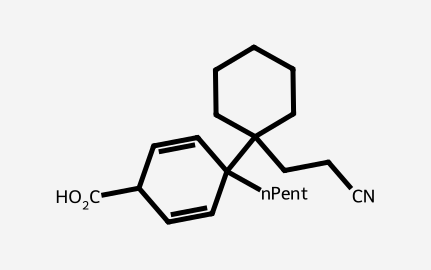 CCCCCC1(C2(CCC#N)CCCCC2)C=CC(C(=O)O)C=C1